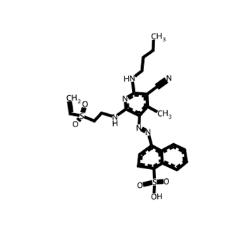 C=CS(=O)(=O)CCNc1nc(NCCCC)c(C#N)c(C)c1/N=N/c1ccc(S(=O)(=O)O)c2ccccc12